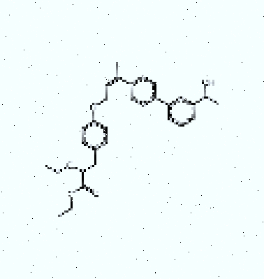 CCOC(=O)C(Cc1ccc(OCC=C(C)c2ccc(-c3cccc(C(C)O)c3)cc2)cc1)OCC